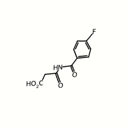 O=C(O)CC(=O)NC(=O)c1ccc(F)cc1